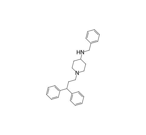 c1ccc(CNC2CCN(CCC(c3ccccc3)c3ccccc3)CC2)cc1